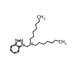 CCCCCCCN(CCCCCCC)Cn1nnc2ccccc21